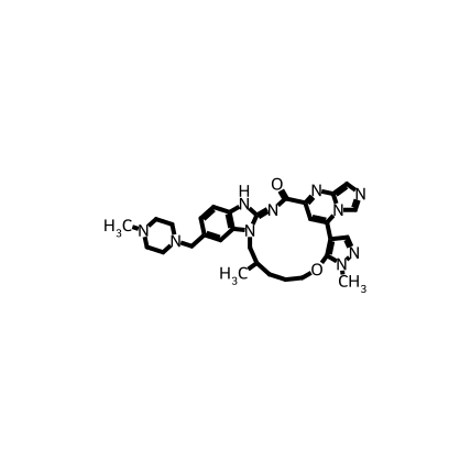 CC1CCCOc2c(cnn2C)-c2cc(nc3cncn23)C(=O)/N=C2\Nc3ccc(CN4CCN(C)CC4)cc3N2C1